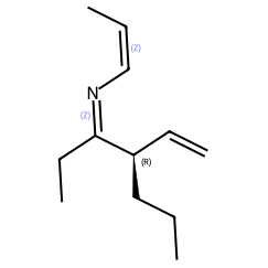 C=C[C@@H](CCC)/C(CC)=N\C=C/C